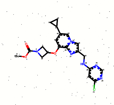 CC(C)(C)OC(=O)N1CC(Oc2cc(C3CC3)cn3cc(CNc4cc(Cl)ncn4)nc23)C1